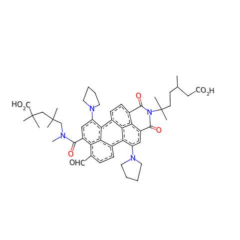 CC(CCC(C)(C)N1C(=O)c2ccc3c4c(N5CCCC5)cc(C(=O)N(C)CC(C)(C)CC(C)(C)C(=O)O)c5c(C=O)ccc(c6c(N7CCCC7)cc(c2c36)C1=O)c54)CC(=O)O